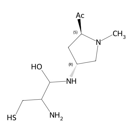 CC(=O)[C@@H]1C[C@@H](NC(O)C(N)CS)CN1C